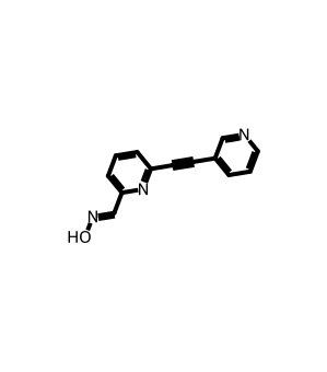 ON=Cc1cccc(C#Cc2cccnc2)n1